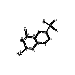 Cc1nc2ccc(S(=O)(=O)Cl)cc2c(=O)[nH]1